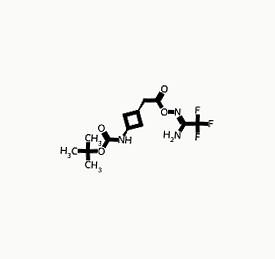 CC(C)(C)OC(=O)N[C@H]1C[C@@H](CC(=O)O/N=C(\N)C(F)(F)F)C1